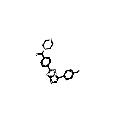 O=C(c1ccc(-c2nn3c(-c4ccc(F)cc4)cnc3s2)cc1)N1CCOCC1